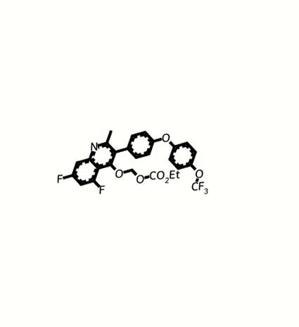 CCOC(=O)OCOc1c(-c2ccc(Oc3ccc(OC(F)(F)F)cc3)cc2)c(C)nc2cc(F)cc(F)c12